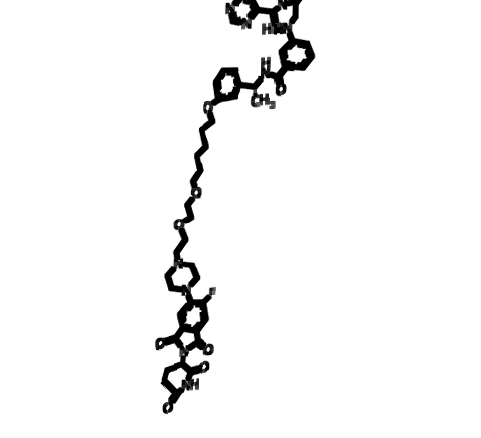 C[C@@H](NC(=O)c1cccc(NCC(=N)N(C)C(=N)c2ccncn2)c1)c1cccc(OCCCCCCOCCOCCN2CCN(c3cc4c(cc3F)C(=O)N(C3CCC(=O)NC3=O)C4=O)CC2)c1